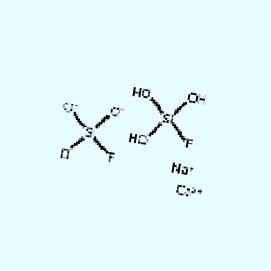 O[Si](O)(O)F.[Ca+2].[Na+].[O-][Si]([O-])([O-])F